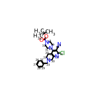 CC(C)(C)OC(=O)N1CCN(c2c(C#N)c(Cl)nc3c2CCN(Cc2ccccc2)C3)CC1